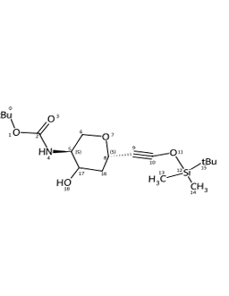 CC(C)(C)OC(=O)N[C@H]1CO[C@H](C#CO[Si](C)(C)C(C)(C)C)CC1O